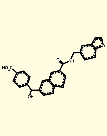 O=C(O)c1ccc(C(O)c2ccc3ccc(C(=O)NCc4ccc5occc5c4)cc3c2)cc1